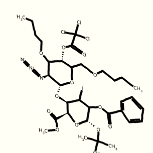 CCCCOCC1O[C@H](O[C@H]2C(I)C(OC(=O)c3ccccc3)[C@H](OC(C)(C)C)O[C@H]2C(=O)OC)[C@@H](N=[N+]=[N-])C(OCCCC)[C@@H]1OC(=O)C(Cl)(Cl)Cl